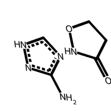 Nc1nc[nH]n1.O=C1CCON1